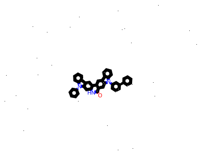 O=c1[nH]c2cc3c(cc2c2cc4c5ccccc5n(-c5cccc(-c6ccccc6)c5)c4cc12)c1ccccc1n3-c1ccccc1